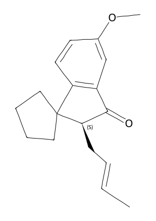 CC=CC[C@@H]1C(=O)c2cc(OC)ccc2C12CCCC2